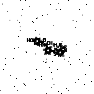 C[C@H](NC(=O)c1ccc(O)nc1)c1cccc(-c2nc3c(ncc4ncn(C)c43)s2)c1